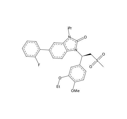 CCOc1cc([C@H](CS(C)(=O)=O)n2c(=O)n(C(C)C)c3cc(-c4ccccc4F)ccc32)ccc1OC